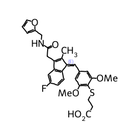 COc1cc(/C=C2/C(C)=C(CC(=O)NCc3ccco3)c3cc(F)ccc32)cc(OC)c1SCCC(=O)O